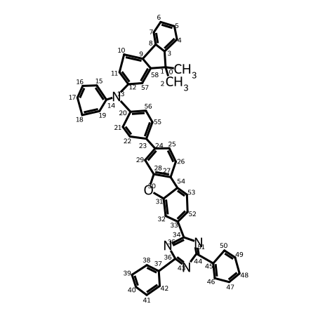 CC1(C)c2ccccc2-c2ccc(N(c3ccccc3)c3ccc(-c4ccc5c(c4)oc4cc(-c6nc(-c7ccccc7)nc(-c7ccccc7)n6)ccc45)cc3)cc21